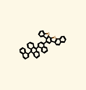 c1ccc2c(-c3c4ccccc4c(-c4ccc(-c5cc6c7ccc8ccccc8c7sc6c6sc7ccccc7c56)c5ccccc45)c4ccccc34)cccc2c1